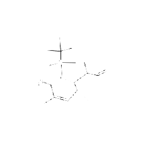 C=CC(C)[C@@H](O[Si](C)(C)C(C)(C)C)[C@H](C)/C=C(/C)CN